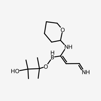 CC(C)(O)C(C)(C)OB/C(=C/C=N)NC1CCCCO1